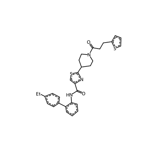 CCc1ccc(-c2ccccc2NC(=O)c2csc(C3CCN(C(=O)CCc4cccs4)CC3)n2)cc1